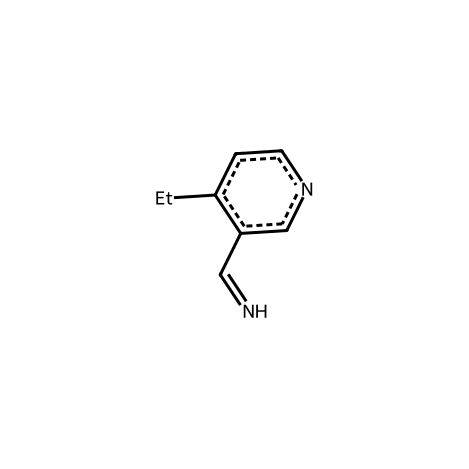 CCc1ccncc1C=N